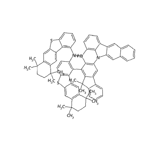 CC1(C)CCC(C)(C)c2cc3c(cc21)sc1cccc(Nc2ccc4sc5cc6c(cc5c4c2-c2c4c(cc5c2C(C)(C)c2ccccc2-5)-n2c5cc7ccccc7cc5c5cccc(c52)B4)C(C)(C)CCC6(C)C)c13